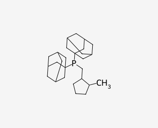 CC1CCCC1CP(C12CC3CC(CC(C3)C1)C2)C12CC3CC(CC(C3)C1)C2